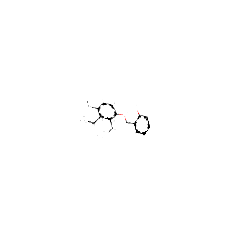 CCc1ccc(OCc2ccccc2O)c(CC)c1CC